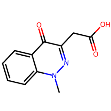 Cn1nc(CC(=O)O)c(=O)c2ccccc21